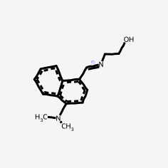 CN(C)c1ccc(/C=N/CCO)c2ccccc12